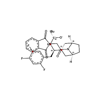 CC(C)(C)[S@+]([O-])N[C@H](Cc1cc(F)c(F)cc1F)[C@@H]1C[C@H]2CC[C@@H](C1)N2C(=O)CN1C(=O)c2ccccc2C1=O